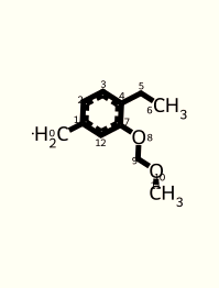 [CH2]c1ccc(CC)c(OCOC)c1